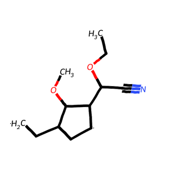 [CH2]CC1C[CH]C(C(C#N)OCC)C1OC